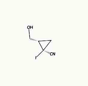 N#C[C@@]1(I)C[C@H]1CO